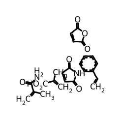 C=C(C)C(=O)O.C=C(C)C(N)=O.C=Cc1ccccc1.O=C1C=CC(=O)N1.O=C1C=CC(=O)O1